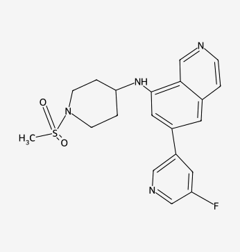 CS(=O)(=O)N1CCC(Nc2cc(-c3cncc(F)c3)cc3ccncc23)CC1